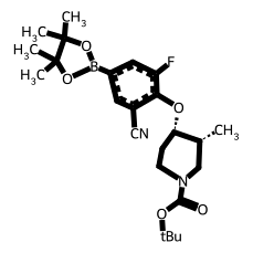 C[C@@H]1CN(C(=O)OC(C)(C)C)CC[C@@H]1Oc1c(F)cc(B2OC(C)(C)C(C)(C)O2)cc1C#N